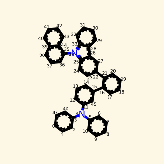 c1ccc(N(c2ccccc2)c2cccc(-c3ccccc3-c3ccc4c(c3)c3ccccc3n4-c3cccc4ccccc34)c2)cc1